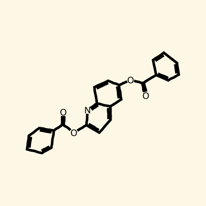 O=C(Oc1ccc2nc(OC(=O)c3ccccc3)ccc2c1)c1ccccc1